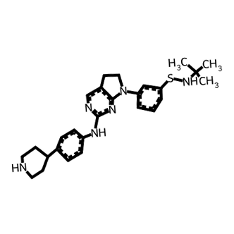 CC(C)(C)NSc1cccc(N2CCc3cnc(Nc4ccc(C5CCNCC5)cc4)nc32)c1